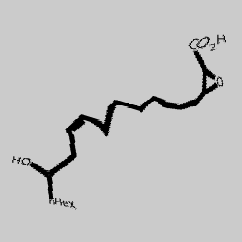 CCCCCCC(O)C/C=C\CCCCCC1OC1C(=O)O